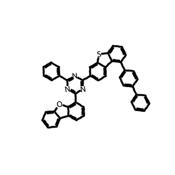 c1ccc(-c2ccc(-c3cccc4sc5cc(-c6nc(-c7ccccc7)nc(-c7cccc8c7oc7ccccc78)n6)ccc5c34)cc2)cc1